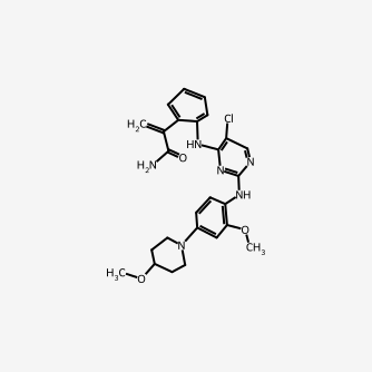 C=C(C(N)=O)c1ccccc1Nc1nc(Nc2ccc(N3CCC(OC)CC3)cc2OC)ncc1Cl